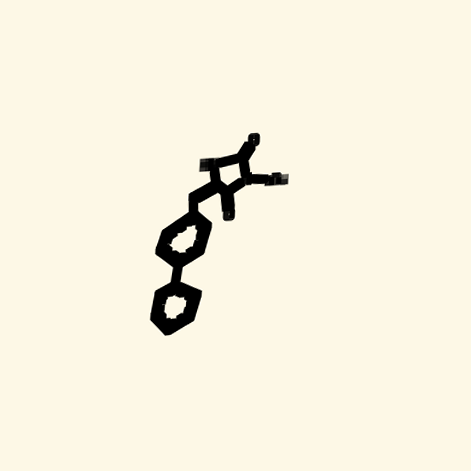 CCCCN1C(=O)NC(=Cc2ccc(-c3ccccc3)cc2)C1=O